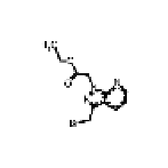 CCOC(=O)Cn1nc(CBr)c2cccnc21